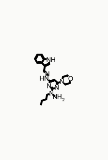 CCCCN(N)c1nc(NN=Cc2c[nH]c3ccccc23)cc(N2CCOCC2)n1